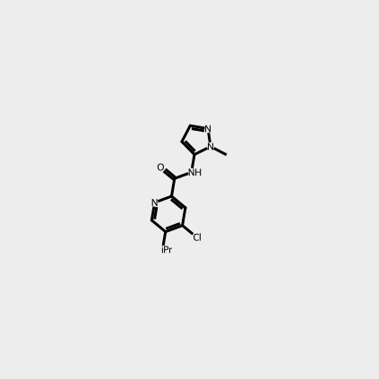 CC(C)c1cnc(C(=O)Nc2ccnn2C)cc1Cl